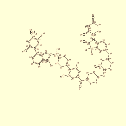 Cc1cc(C(=O)N2CCC(CN3CCN(Cc4ccc5c(c4)C(C)(C)C(=O)N5[C@H]4CCC(=O)NC4=O)C[C@@H]3C)CC2)cc(F)c1C1=CCN([C@@H](C)c2cc3c(-n4cc(F)c(N)cc4=O)ccnc3n2C)CC1